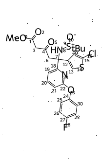 COC(=O)CC(=O)CC(N[S+]([O-])C(C)(C)C)(c1csc(Cl)c1)c1cccc(Oc2ccc(F)cc2)n1